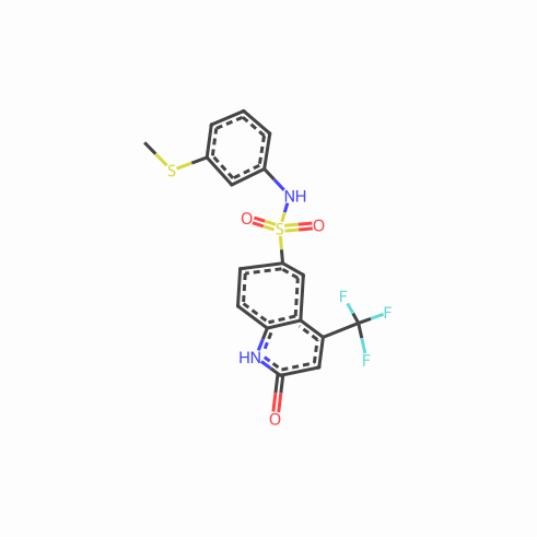 CSc1cccc(NS(=O)(=O)c2ccc3[nH]c(=O)cc(C(F)(F)F)c3c2)c1